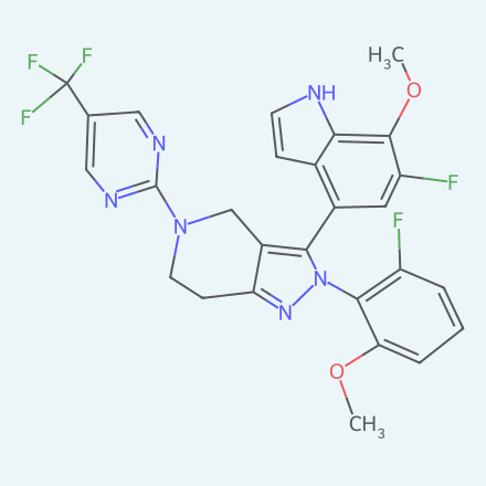 COc1cccc(F)c1-n1nc2c(c1-c1cc(F)c(OC)c3[nH]ccc13)CN(c1ncc(C(F)(F)F)cn1)CC2